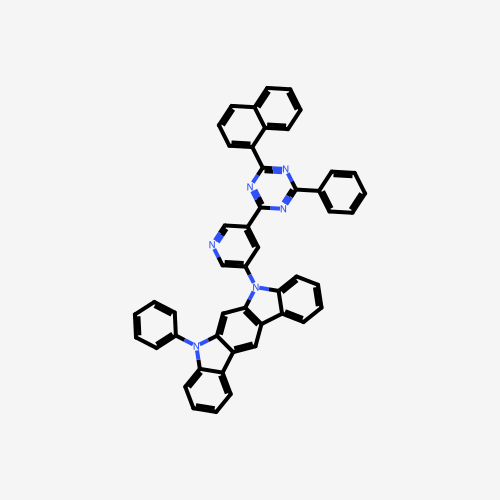 c1ccc(-c2nc(-c3cncc(-n4c5ccccc5c5cc6c7ccccc7n(-c7ccccc7)c6cc54)c3)nc(-c3cccc4ccccc34)n2)cc1